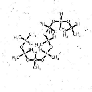 [3H][Si](C)(C)O[Si]([3H])(C)O[Si]([3H])(C)O[Si]([3H])(C)O[Si]([3H])(C)O[Si]([3H])(C)O[Si]([3H])(C)O[Si]([3H])(C)C